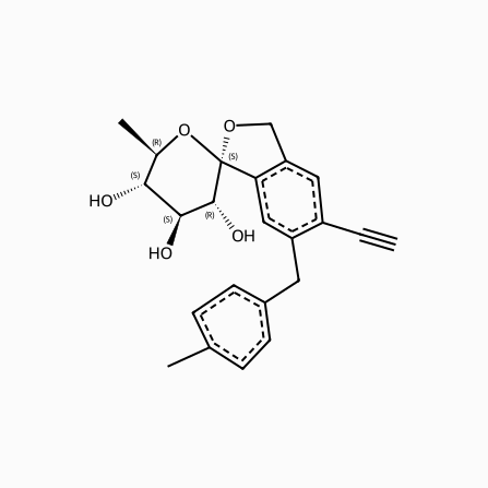 C#Cc1cc2c(cc1Cc1ccc(C)cc1)[C@]1(OC2)O[C@H](C)[C@@H](O)[C@H](O)[C@H]1O